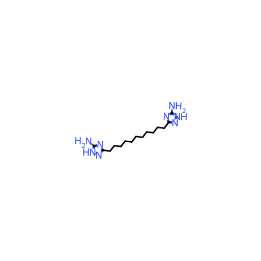 Nc1nc(CCCCCCCCCCCc2n[nH]c(N)n2)n[nH]1